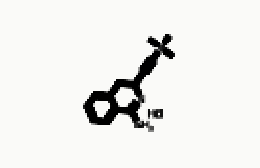 C[Si](C)(C)C#CC1Cc2ccccc2C(N)=N1.Cl